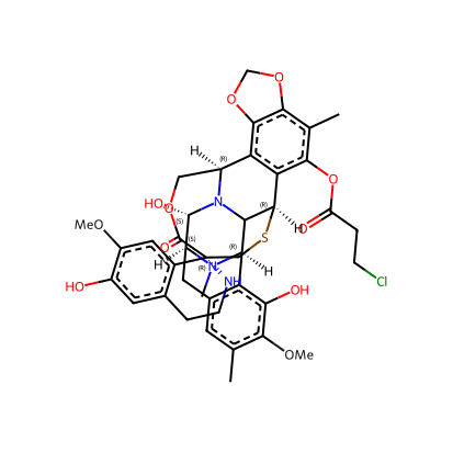 COc1cc2c(cc1O)CCN[C@]21CS[C@@H]2c3c(OC(=O)CCCl)c(C)c4c(c3[C@H](COC1=O)N1C2[C@H]2c3c(cc(C)c(OC)c3O)C[C@@H]([C@@H]1O)N2C)OCO4